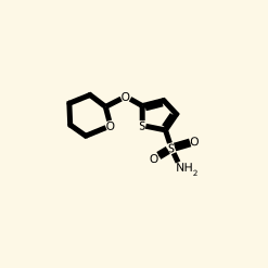 NS(=O)(=O)c1ccc(OC2CCCCO2)s1